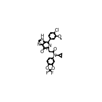 COc1cc(-c2nn(CC(=O)N(c3ccc4c(c3)OC(F)(F)O4)C3CC3)c(=O)c3nc[nH]c23)ccc1Cl